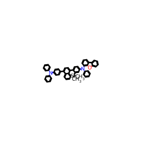 C[Si]1(C)c2cc(N(c3ccccc3)c3cccc4c3oc3ccccc34)ccc2-c2ccc(-c3ccc(N(c4ccccc4)c4ccccc4)cc3)c3cccc1c23